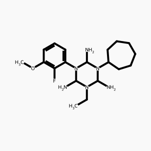 CCN1C(N)N(c2cccc(OC)c2F)C(N)N(C2CCCCCC2)C1N